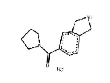 Cl.O=C(c1ccc2c(c1)CNC2)N1CCCC1